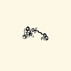 COC(=O)[C@@H](c1cccc(F)c1CO[C@@H]1CCOC1)N1CCC(C(F)(F)CCCCc2ccc3c(n2)NCCC3)C1